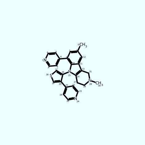 Cc1cc(-c2ccncc2)c2c(c1)c1c(n2-c2cscc2-c2ccncc2)CCN(C)C1